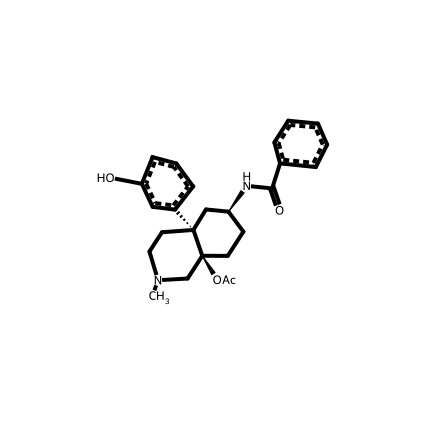 CC(=O)O[C@]12CC[C@H](NC(=O)c3ccccc3)C[C@]1(c1cccc(O)c1)CCN(C)C2